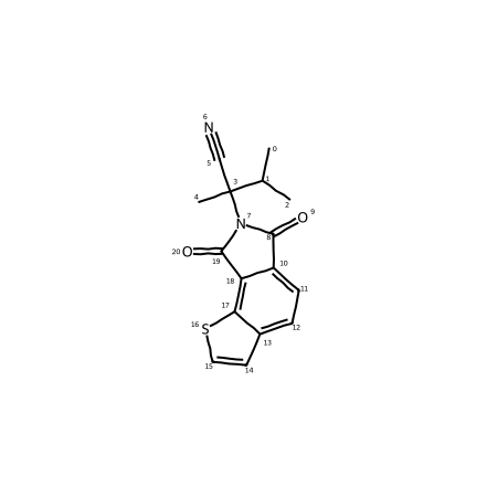 CC(C)C(C)(C#N)N1C(=O)c2ccc3ccsc3c2C1=O